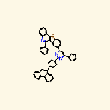 c1ccc(-c2cc(-c3ccc4sc5c6ccccc6nc(-c6ccccc6)c5c4c3)nc(-c3ccc(-c4cc5ccccc5c5ccccc45)cc3)n2)cc1